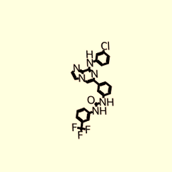 O=C(Nc1cccc(-c2cn3ccnc3c(Nc3cccc(Cl)c3)n2)c1)Nc1cccc(C(F)(F)F)c1